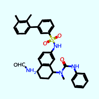 Cc1cccc(-c2cccc(S(=O)(=O)Nc3ccc4c(c3)C(N(C)C(=O)Nc3ccccc3)CCC4)c2)c1C.NC=O